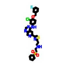 O=S(=O)(CCNCCc1nc(-c2cc3c(Nc4ccc(OCc5cccc(F)c5)c(Cl)c4)ncnc3cn2)cs1)c1ccccc1